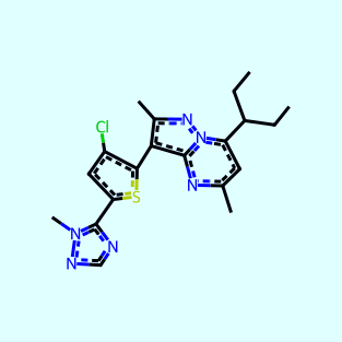 CCC(CC)c1cc(C)nc2c(-c3sc(-c4ncnn4C)cc3Cl)c(C)nn12